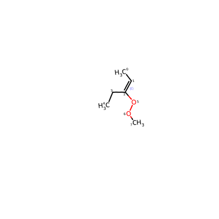 C/C=C(\CC)OOC